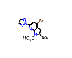 CC(C)(C)c1cc2c(Br)cc(-n3nccn3)nc2n1C(=O)O